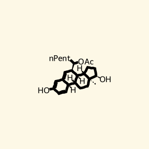 CCCCCC(OC(C)=O)[C@@H]1C=C2C=C(O)C=C[C@@H]2[C@H]2CC[C@]3(C)[C@@H](O)CC[C@H]3[C@@H]21